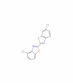 Clc1ccc2nc(-c3nc4c(Cl)cccc4o3)sc2c1